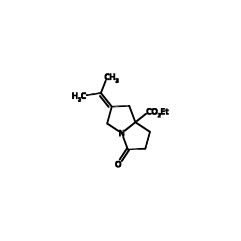 CCOC(=O)C12CCC(=O)N1CC(=C(C)C)C2